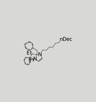 CCCCCCCCCCCCCCCCN1C=CN(C(C)C)C1(Cc1ccccc1)C(CC)c1ccccc1